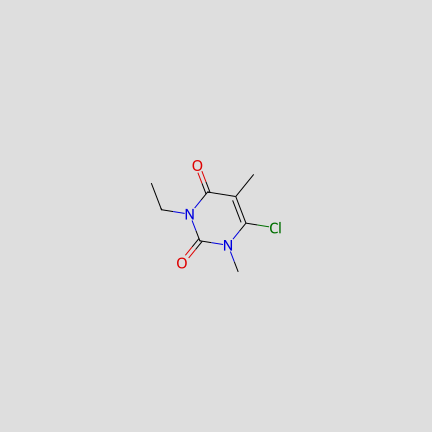 CCn1c(=O)c(C)c(Cl)n(C)c1=O